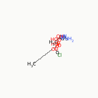 CCCCCCCCCCCCCCCCCCOC[C@H](COP(=O)(O)O[C@@H](C)[C@H]1O[C@@](C)(c2ccc3c(N)ncnn23)[C@H](O)[C@@H]1O)OCc1ccc(Cl)cc1